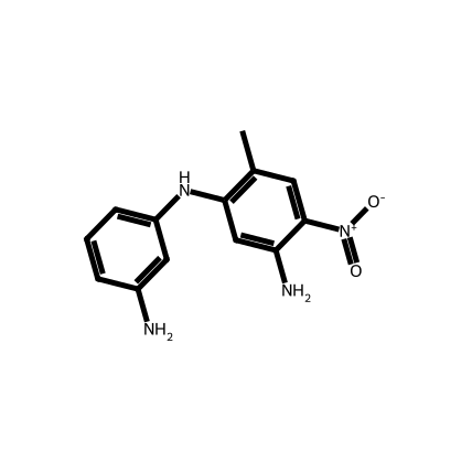 Cc1cc([N+](=O)[O-])c(N)cc1Nc1cccc(N)c1